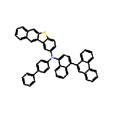 c1ccc(-c2ccc(N(c3ccc4sc5cc6ccccc6cc5c4c3)c3ccc(-c4cc5ccccc5c5ccccc45)c4ccccc34)cc2)cc1